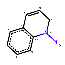 IN1CC=Cc2ccccc21